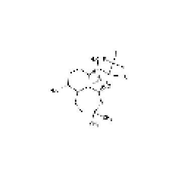 C[C@@H]1CC[C@H]2[C@@H](C)[C@](C)(C(F)(F)F)O[C@@H]3OC(C)(C)CCC1[C@]32C